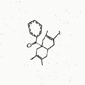 CC1=C(C)CC2(C(=O)c3ccccc3)CC(C)=C(I)CC2C1